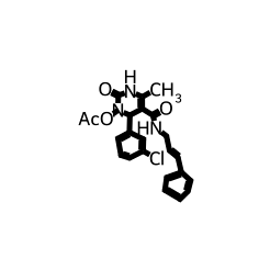 CC(=O)ON1C(=O)NC(C)=C(C(=O)NCC=Cc2ccccc2)C1c1cccc(Cl)c1